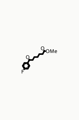 COC(=O)CCCCCC(=O)c1ccc(F)cc1